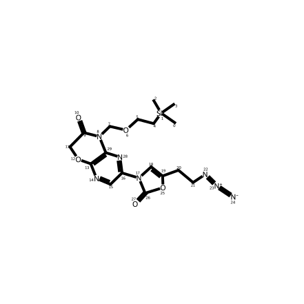 C[Si](C)(C)CCOCN1C(=O)COc2ncc(-n3cc(CCN=[N+]=[N-])oc3=O)nc21